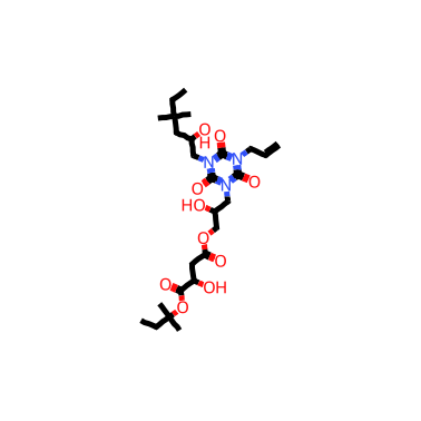 C=CCn1c(=O)n(CC(O)COC(=O)CC(O)C(=O)OC(C)(C)CC)c(=O)n(CC(O)CC(C)(C)CC)c1=O